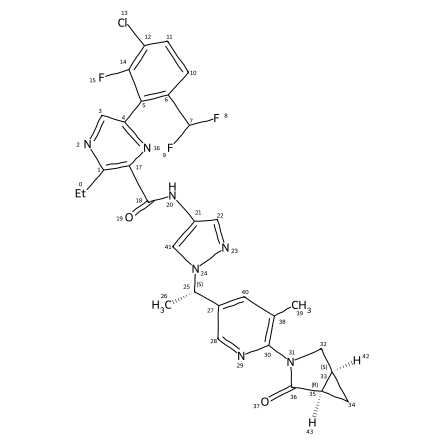 CCc1ncc(-c2c(C(F)F)ccc(Cl)c2F)nc1C(=O)Nc1cnn([C@@H](C)c2cnc(N3C[C@H]4C[C@H]4C3=O)c(C)c2)c1